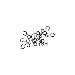 CC1OC(O)[C@@H](C)C(O[C@@H]2OC(COCc3ccccc3)[C@@H](OCc3ccccc3)C(OCc3ccccc3)[C@H]2C)[C@H]1O[C@@H]1OC[C@@H](C)C(O[C@@H]2OC[C@]3(COCc4ccccc4)O[C@@H](c4ccccc4)OC23)[C@H]1OCc1ccccc1